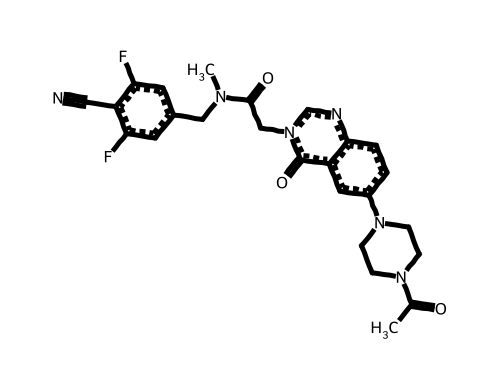 CC(=O)N1CCN(c2ccc3ncn(CC(=O)N(C)Cc4cc(F)c(C#N)c(F)c4)c(=O)c3c2)CC1